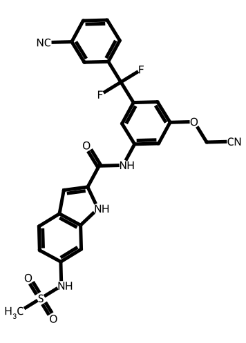 CS(=O)(=O)Nc1ccc2cc(C(=O)Nc3cc(OCC#N)cc(C(F)(F)c4cccc(C#N)c4)c3)[nH]c2c1